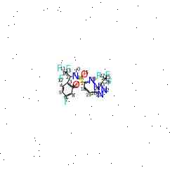 CN(C(c1ccc(F)cc1)C(F)(F)F)S(=O)(=O)c1ccc2nnc(C(F)(F)F)n2n1